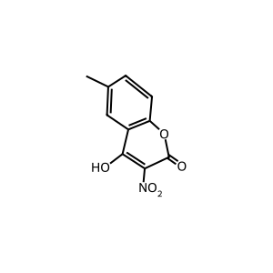 Cc1ccc2oc(=O)c([N+](=O)[O-])c(O)c2c1